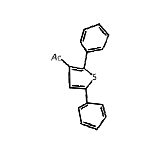 CC(=O)c1cc(-c2ccccc2)sc1-c1ccccc1